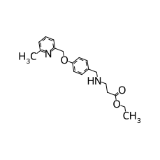 CCOC(=O)CCNCc1ccc(OCc2cccc(C)n2)cc1